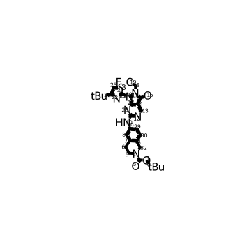 CC(C)(C)OC(=O)N1CCc2cc(Nc3ncc4c(=O)n(CC(F)(F)F)n(-c5nc(C(C)(C)C)cs5)c4n3)ccc2C1